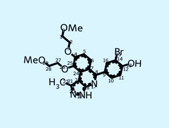 COCCOc1ccc2c(-c3ccc(O)c(Br)c3)nc3[nH]nc(C)c3c2c1OCCOC